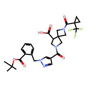 CC(C)(C)OC(=O)c1ccccc1Cn1cc(C(=O)N2CC(C(=O)O)C3(C2)CN(C(=O)C2(C(F)(F)F)CC2)C3)cn1